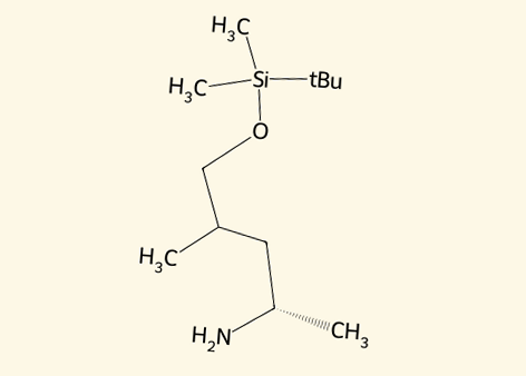 CC(CO[Si](C)(C)C(C)(C)C)C[C@H](C)N